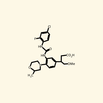 COCC(CC(=O)O)c1ccc(N2CCOC(C)C2)c(NC(=O)Nc2ccc(Cl)cc2F)c1